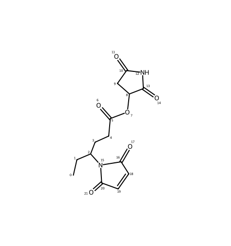 CCC(CCC(=O)OC1CC(=O)NC1=O)N1C(=O)C=CC1=O